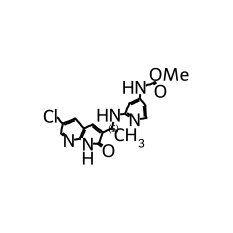 COC(=O)Nc1ccnc(N[C@@H](C)c2cc3cc(Cl)cnc3[nH]c2=O)c1